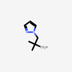 CC(C)(Cn1cccn1)C(=O)O